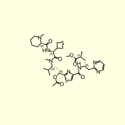 COC(=O)[C@@H](C)C[C@H](Cc1ncccn1)NC(=O)c1csc([C@@H](C[C@H](C(C)C)N(C)C(=O)[C@@H](NC(=O)[C@H]2CCCCN2C)C2CSC2)OC(C)=O)n1